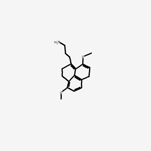 COC1=CCc2ccc(OC)c3c2C1=C(CCCN)CC3